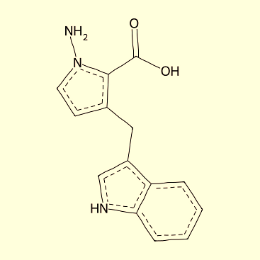 Nn1ccc(Cc2c[nH]c3ccccc23)c1C(=O)O